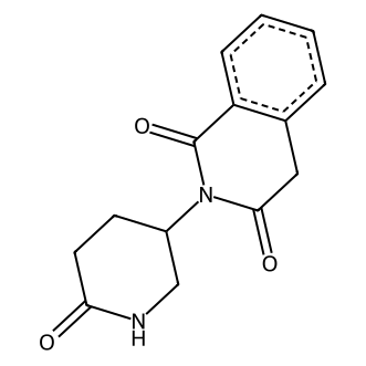 O=C1CCC(N2C(=O)Cc3ccccc3C2=O)CN1